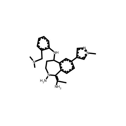 C/C(N)=C1\c2ccc(-c3cnn(C)c3)cc2C(Nc2ccccc2CN(C)C)CCN1N